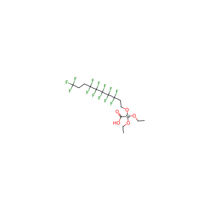 CCO[Si](OCC)(OCCC(F)(F)C(F)(F)C(F)(F)C(F)(F)C(F)(F)CCC(F)(F)F)C(=O)O